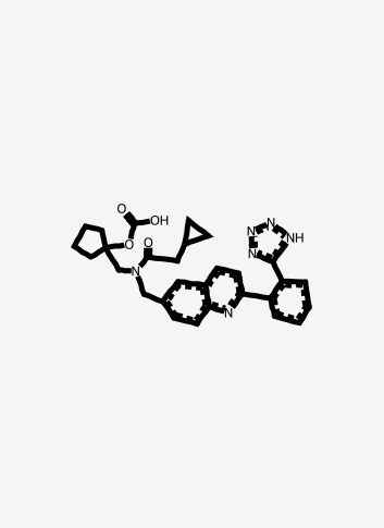 O=C(O)OC1(CN(Cc2ccc3nc(-c4ccccc4-c4nnn[nH]4)ccc3c2)C(=O)CC2CC2)CCCC1